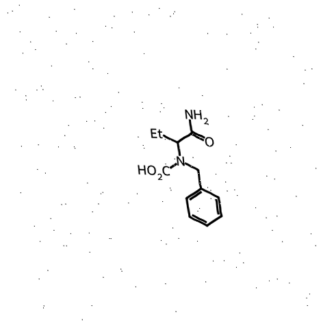 CCC(C(N)=O)N(Cc1ccccc1)C(=O)O